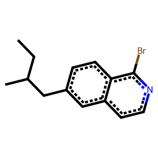 CCC(C)Cc1ccc2c(Br)nccc2c1